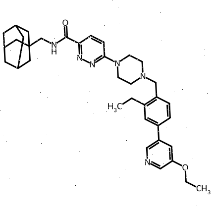 CCOc1cncc(-c2ccc(CN3CCN(c4ccc(C(=O)NCC56CC7CC(CC(C7)C5)C6)nn4)CC3)c(CC)c2)c1